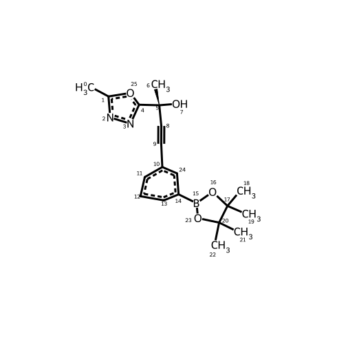 Cc1nnc([C@](C)(O)C#Cc2cccc(B3OC(C)(C)C(C)(C)O3)c2)o1